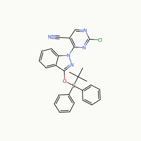 CC(C)(C)[Si](Oc1nn(-c2nc(Cl)ncc2C#N)c2ccccc12)(c1ccccc1)c1ccccc1